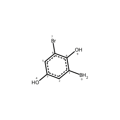 Bc1cc(O)cc(Br)c1O